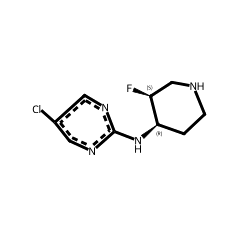 F[C@H]1CNCC[C@H]1Nc1ncc(Cl)cn1